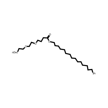 CCCCCCCCCCCCOCCOCCCC(=O)OCCCCCCCCCCCCCCCC(C)C